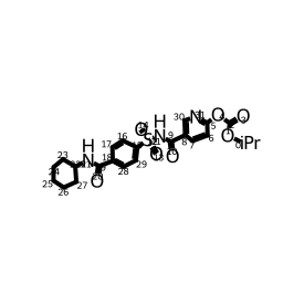 CC(C)OC(=O)Oc1ccc(C(=O)NS(=O)(=O)c2ccc(C(=O)NC3CCCCC3)cc2)cn1